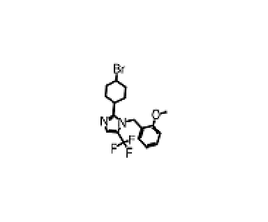 COc1ccccc1Cn1c(C(F)(F)F)cnc1C1CCC(Br)CC1